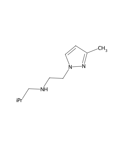 Cc1ccn(CCNCC(C)C)n1